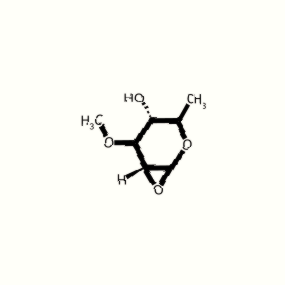 COC1[C@H](O)C(C)OC2O[C@@H]21